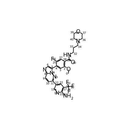 COc1cc(-c2cnc3ccc(-c4cnc(N)c(C(F)(F)F)c4)nn23)c(F)cc1C(=O)NCCCN1CCOCC1